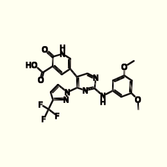 COc1cc(Nc2ncc(-c3c[nH]c(=O)c(C(=O)O)c3)c(-n3ccc(C(F)(F)F)n3)n2)cc(OC)c1